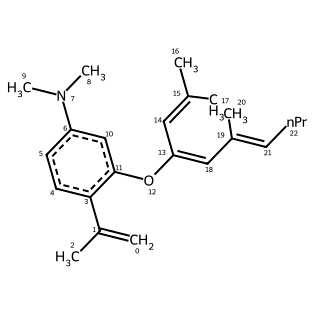 C=C(C)c1ccc(N(C)C)cc1O/C(C=C(C)C)=C/C(C)=C/CCC